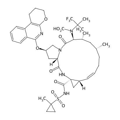 C[C@@H]1CC/C=C\[C@@H]2C[C@@]2(C(=O)NS(=O)(=O)C2(C)CC2)NC(=O)[C@@H]2C[C@@H](Oc3nc4c(c5ccccc35)CCCO4)CN2C(=O)[C@@H](N(C(=O)O)C(C)(C)C(F)(F)F)[C@H](C)C1